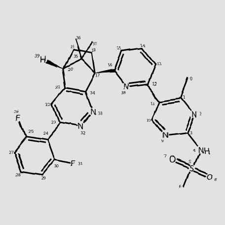 Cc1nc(NS(C)(=O)=O)ncc1-c1cccc([C@@]23CC[C@@H](c4cc(-c5c(F)cccc5F)nnc42)C3(C)C)n1